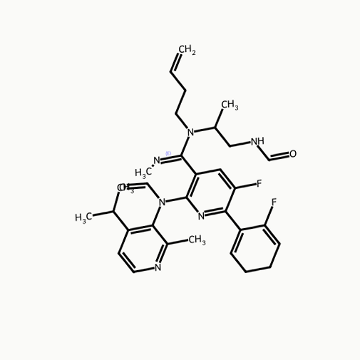 C=CCCN(/C(=N/C)c1cc(F)c(C2=CCCC=C2F)nc1N(C=O)c1c(C(C)C)ccnc1C)C(C)CNC=O